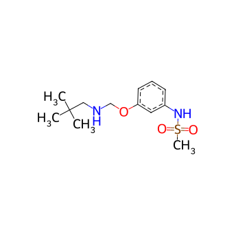 CC(C)(C)CNCOc1cccc(NS(C)(=O)=O)c1